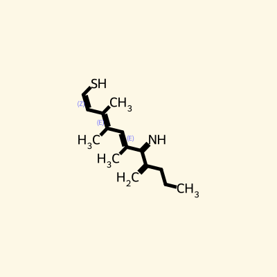 C=C(CCC)C(=N)/C(C)=C/C(C)=C(C)/C=C\S